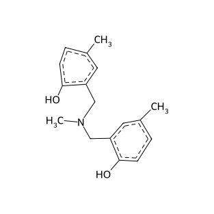 Cc1ccc(O)c(CN(C)Cc2cc(C)ccc2O)c1